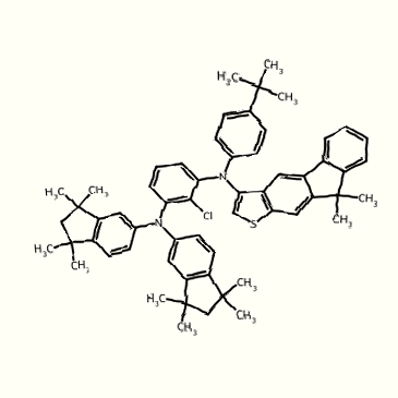 CC(C)(C)c1ccc(N(c2cccc(N(c3ccc4c(c3)C(C)(C)CC4(C)C)c3ccc4c(c3)C(C)(C)CC4(C)C)c2Cl)c2csc3cc4c(cc23)-c2ccccc2C4(C)C)cc1